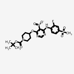 CC(C)(C)OC(=O)N1CCC(Oc2ncnc(Nc3ccc(S(C)(=O)=O)cc3F)c2[N+](=O)[O-])CC1